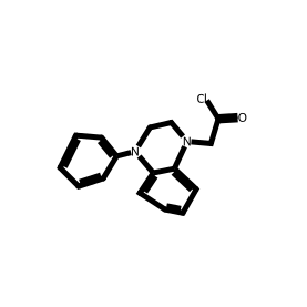 O=C(Cl)CN1CCN(c2ccccc2)c2ccccc21